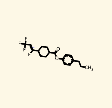 CCCc1ccc(OC(=O)C2CCC(/C(F)=C/C(F)(F)F)CC2)cc1